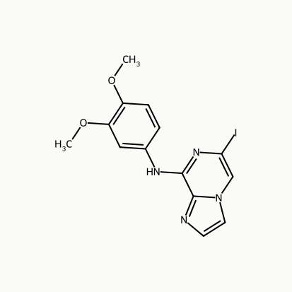 COc1ccc(Nc2nc(I)cn3ccnc23)cc1OC